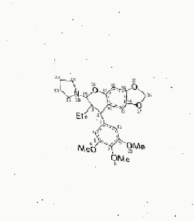 CCC1C(c2cc(OC)c(OC)c(OC)c2)c2cc3c(cc2OC1N1CCCC1)OCO3